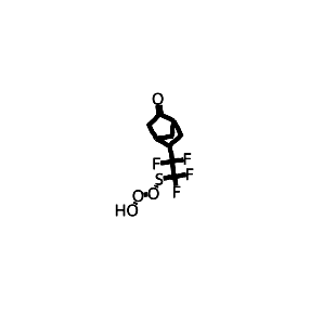 O=C1CC2CC1CC2C(F)(F)C(F)(F)SOOO